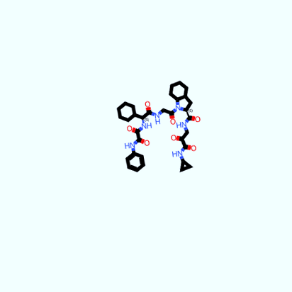 O=C(CNC(=O)[C@@H]1CC2CCCCC2N1C(=O)CNC(=O)[C@@H](NC(=O)C(=O)Nc1ccccc1)C1CCCCC1)C(=O)NC1CC1